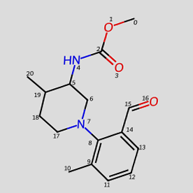 COC(=O)NC1CN(c2c(C)cccc2C=O)CCC1C